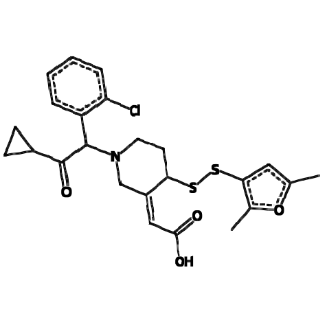 Cc1cc(SSC2CCN(C(C(=O)C3CC3)c3ccccc3Cl)C/C2=C/C(=O)O)c(C)o1